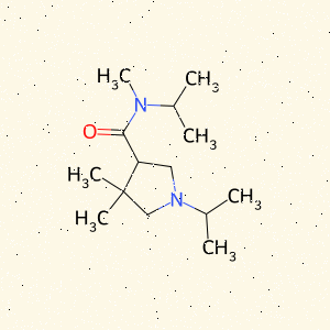 CC(C)N1CC(C(=O)N(C)C(C)C)C(C)(C)C1